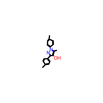 Cc1ccc(-c2nn(-c3ccc(C)cc3)c(C)c2O)cc1